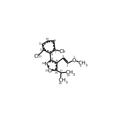 CO/C=C/c1c(-c2c(Cl)cccc2Cl)noc1C(C)C